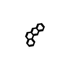 [c]1cc2ccccc2c2cc3ccccc3cc12